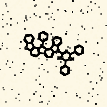 c1ccc(C2N=C(n3c4ccccc4c4c3ccc3c5ccc6oc7ccccc7c6c5n(-c5ccccc5)c34)NC(c3ccccc3)N2)cc1